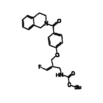 CC(C)(C)OC(=O)NC/C(=C/F)COc1ccc(C(=O)N2CCc3ccccc3C2)cc1